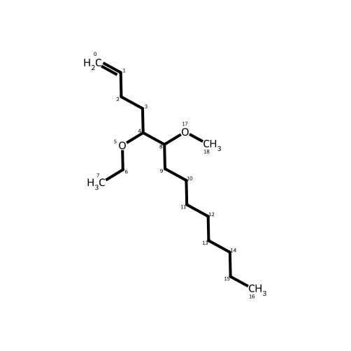 C=CCCC(OCC)C(CCCCCCCC)OC